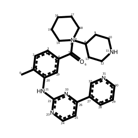 Cc1ccc(C(=O)[N+]2(C3CCNCC3)CCCCC2)cc1Nc1nccc(-c2cccnc2)n1